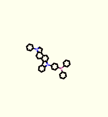 c1ccc(-n2ccc3c4ccc5c(c4ccc32)c2ccccc2n5-c2ccc(P(c3ccccc3)c3ccccc3)cc2)cc1